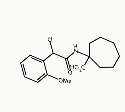 COc1ccccc1C(Cl)C(=O)NC1(C(=O)O)CCCCCC1